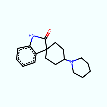 O=C1Nc2ccccc2C12CCC(N1CCCCC1)CC2